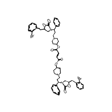 O=C(/C=C/C(=O)OC1CCN(CCC(c2ccccc2)N2CC(Cc3ccccc3Br)OC2=O)CC1)OC1CCN(CCC(c2ccccc2)N2CC(Cc3ccccc3Br)OC2=O)CC1